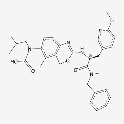 COc1ccc(C[C@H](NC2=Nc3ccc(N(CC(C)C)C(=O)O)c(C)c3CO2)C(=O)N(C)Cc2ccccc2)cc1